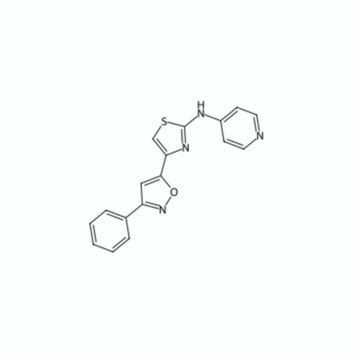 c1ccc(-c2cc(-c3csc(Nc4ccncc4)n3)on2)cc1